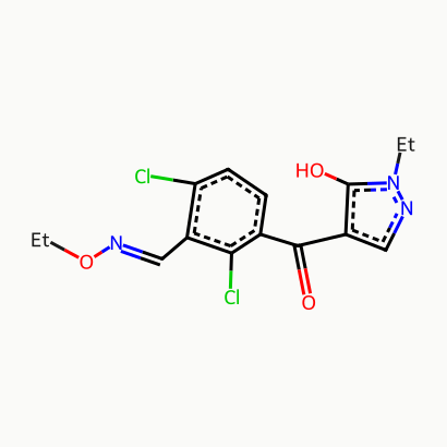 CCON=Cc1c(Cl)ccc(C(=O)c2cnn(CC)c2O)c1Cl